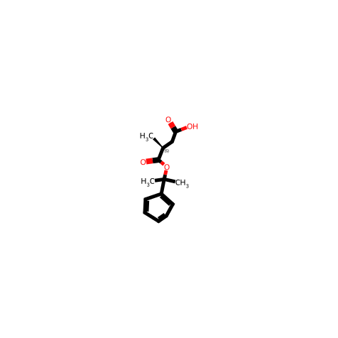 C[C@@H](CC(=O)O)C(=O)OC(C)(C)c1ccccc1